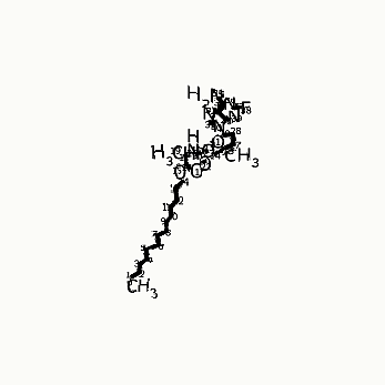 CCCCCCCCCCCCCCCOC(=O)[C@H](C)N[PH](=O)OC[C@]1(C)CC[C@H](n2cnc3c(N)nc(F)nc32)O1